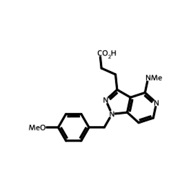 CNc1nccc2c1c(CCC(=O)O)nn2Cc1ccc(OC)cc1